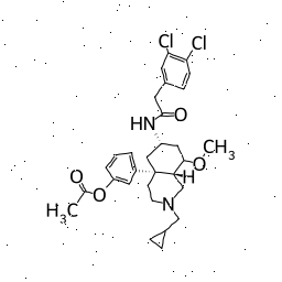 COC1C[C@@H](NC(=O)Cc2ccc(Cl)c(Cl)c2)C[C@]2(c3cccc(OC(C)=O)c3)CCN(CC3CC3)C[C@@H]12